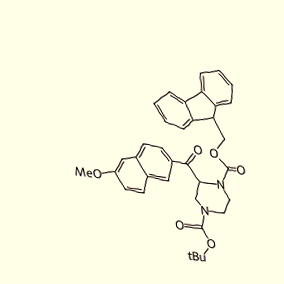 COc1ccc2cc(C(=O)C3CN(C(=O)OC(C)(C)C)CCN3C(=O)OCC3c4ccccc4-c4ccccc43)ccc2c1